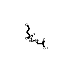 O=C(O)CNNS(=O)(=O)CCCl